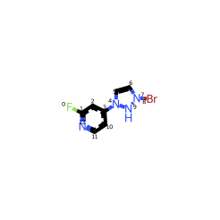 Fc1cc(N2C=CN(Br)N2)ccn1